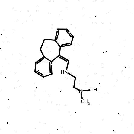 CN(C)CCNC=C1c2ccccc2CCc2ccccc21